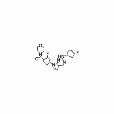 O=C(c1ccc(-n2ccc3cnc(Nc4ccc(F)cc4)nc32)cc1F)N1CCOCC1